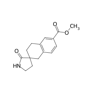 COC(=O)c1ccc2c(c1)CCC1(CCNC1=O)C2